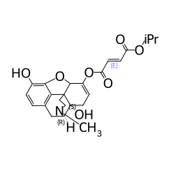 CC(C)OC(=O)/C=C/C(=O)OC1=CC[C@@]2(O)[C@H]3Cc4ccc(O)c5c4C2(CCN3C)C1O5